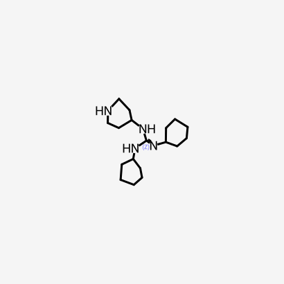 C1CCC(/N=C(/NC2CCCCC2)NC2CCNCC2)CC1